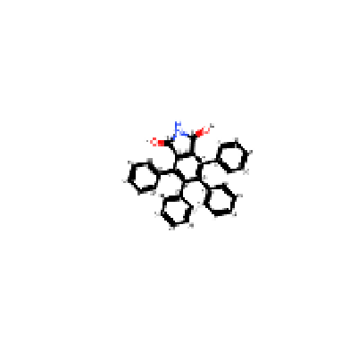 O=C1NC(=O)c2c1c(-c1ccccc1)c(-c1ccccc1)c(-c1ccccc1)c2-c1ccccc1